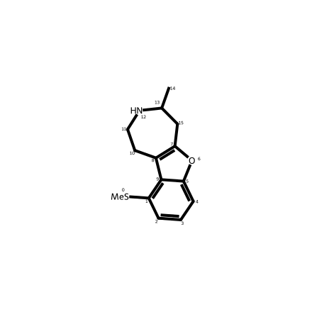 CSc1cccc2oc3c(c12)CCNC(C)C3